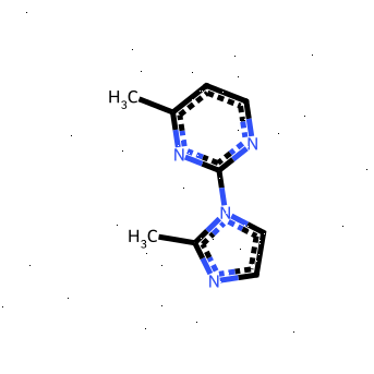 Cc1ccnc(-n2ccnc2C)n1